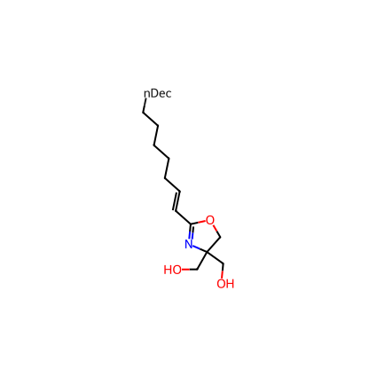 CCCCCCCCCCCCCCC/C=C/C1=NC(CO)(CO)CO1